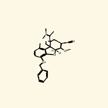 CCC12c3c(C)ccc(OCc4ccccc4)c3O[C@H]1C(OC)C(C#N)CC2(C)C(C)N(C)C